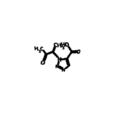 CC(=O)C(C)n1nncc1C(=O)O